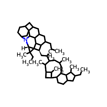 CCCC1CC2CC3CC4CCC5CC43C3C2C2C1[C@@H](CC(C)C1CC(C)CC4C(CCC6CC(CC)C(C)C64)C4CC(C1C)C4C)C21[C@@H](N53)C1(C)CC